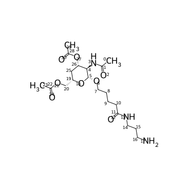 CC(=O)N[C@H]1[C@H](OCCCCC(=O)NCCCN)O[C@H](COC(C)=O)C[C@@H]1OC(C)=O